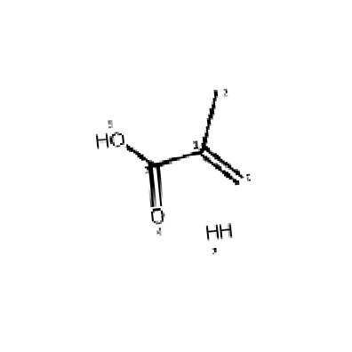 C=C(C)C(=O)O.[HH]